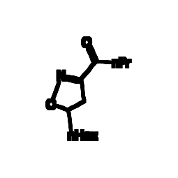 CCCCCCC1CC(C(=O)CCC)=NO1